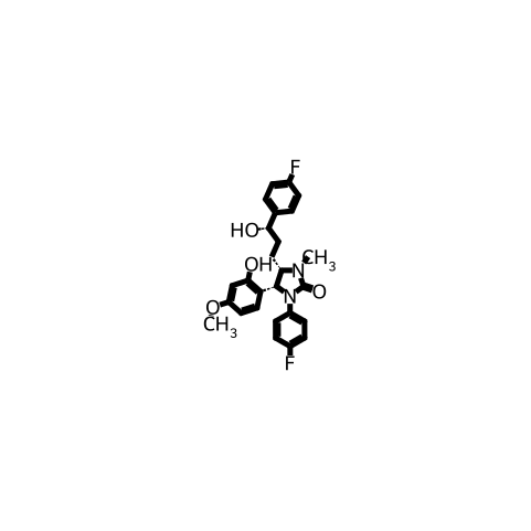 COc1ccc([C@@H]2[C@H](CC[C@H](O)c3ccc(F)cc3)N(C)C(=O)N2c2ccc(F)cc2)c(O)c1